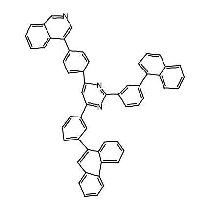 c1cc(-c2nc(-c3ccc(-c4cncc5ccccc45)cc3)cc(-c3cccc(-c4cc5ccccc5c5ccccc45)c3)n2)cc(-c2cccc3ccccc23)c1